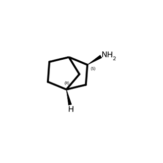 N[C@H]1C[C@@H]2CCC1C2